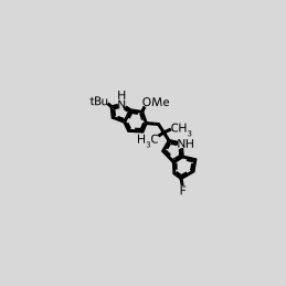 COc1c(CC(C)(C)c2cc3cc(F)ccc3[nH]2)ccc2cc(C(C)(C)C)[nH]c12